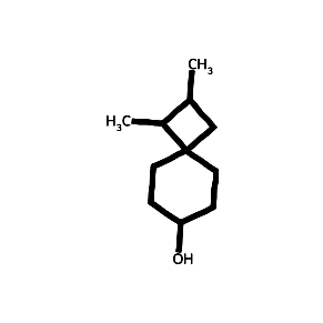 CC1CC2(CCC(O)CC2)C1C